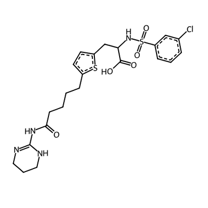 O=C(CCCCc1ccc(CC(NS(=O)(=O)c2cccc(Cl)c2)C(=O)O)s1)NC1=NCCCN1